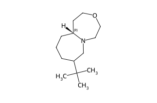 CC(C)(C)C1CCC[C@@H]2CCOCCN2C1